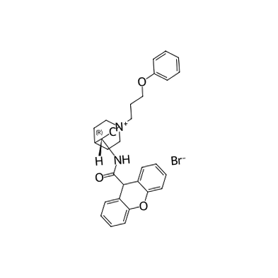 O=C(N[C@H]1C[N+]2(CCCOc3ccccc3)CCC1CC2)C1c2ccccc2Oc2ccccc21.[Br-]